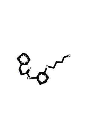 O=C(/C=C\c1ccccc1)Nc1cccc(OCCCCCl)c1